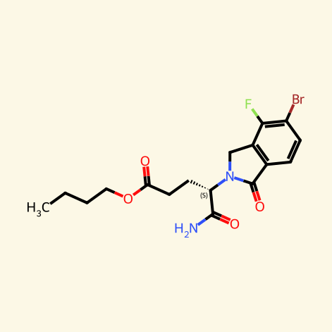 CCCCOC(=O)CC[C@@H](C(N)=O)N1Cc2c(ccc(Br)c2F)C1=O